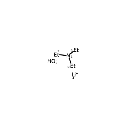 CCN(CC)CC.[Li+].[OH-]